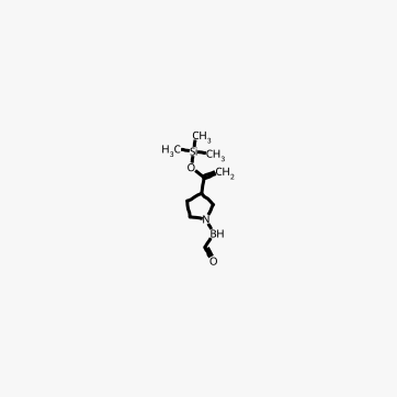 C=C(O[Si](C)(C)C)C1CCN(BC=O)C1